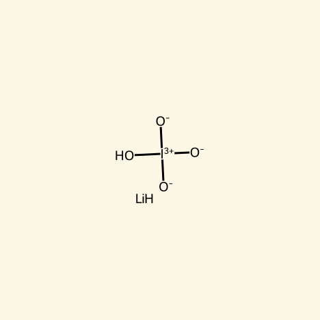 [LiH].[O-][I+3]([O-])([O-])O